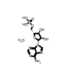 Nc1ncnc2c1ncn2[C@@H]1O[C@H](COP(=O)(O)O)[C@@H](O)[C@H]1O.O